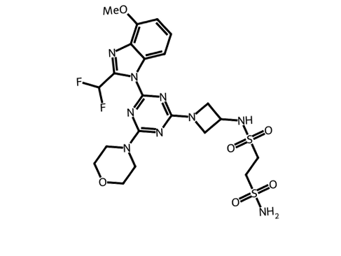 COc1cccc2c1nc(C(F)F)n2-c1nc(N2CCOCC2)nc(N2CC(NS(=O)(=O)CCS(N)(=O)=O)C2)n1